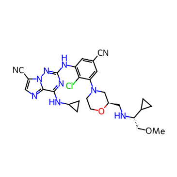 COC[C@H](NC[C@@H]1CN(c2cc(C#N)cc(Nc3nc(NC4CC4)c4ncc(C#N)n4n3)c2Cl)CCO1)C1CC1